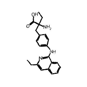 CCc1cc2ccccc2c(Nc2ccc(CC(N)(CC)C(=O)O)cc2)n1